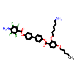 CCCCCOc1ccc(C(=O)Oc2ccc(-c3ccc(OC(=O)c4c(F)c(F)c(N)c(F)c4F)cc3)cc2)c(OCCCCCCN)c1